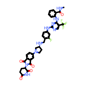 CNC(=O)c1ccccc1Nc1nc(Nc2ccc(CN[C@H]3CCN(c4ccc5c(c4)C(=O)N(C4CCC(=O)NC4=O)C5=O)C3)c(F)c2)ncc1C(F)(F)F